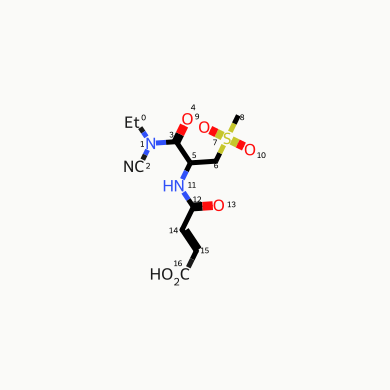 CCN(C#N)C(=O)C(CS(C)(=O)=O)NC(=O)C=CC(=O)O